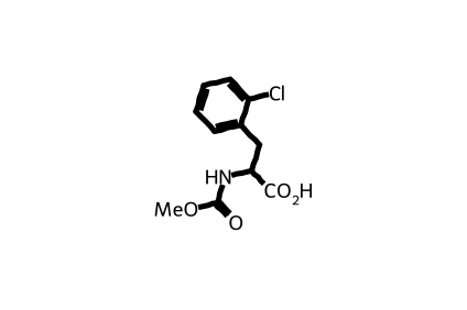 COC(=O)NC(Cc1ccccc1Cl)C(=O)O